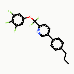 CCCc1ccc(-c2ccc(C(F)(F)Oc3cc(F)c(F)c(F)c3)nc2)cc1